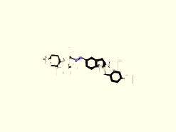 CN1CC[C@H](N2C(=O)S/C(=C\c3ccc4c(cnn4Cc4ccc(Cl)cc4C(F)(F)F)c3)C2=O)[C@@H](F)C1